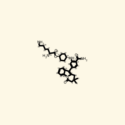 CC1(C)CC(=O)n2c(c(-c3ccc(C(N)=O)c(N[C@H]4CC[C@H](OC(=O)[C@@H](N)CCCCN)CC4)c3)c3ccccc32)C1